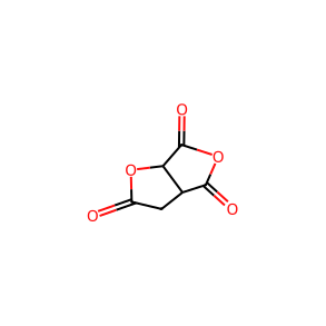 O=C1CC2C(=O)OC(=O)C2O1